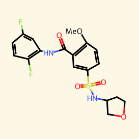 COc1ccc(S(=O)(=O)NC2CCOC2)cc1C(=O)Nc1cc(F)ccc1F